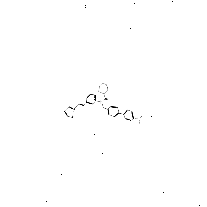 CN(C)c1ccc(-c2ccc(CN(C(=O)C3CCCCC3)c3cccc(C=Cc4ccccn4)c3)cc2)cc1